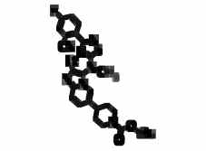 CCc1nc2ccc(C3CCN(C(=O)OC(C)(C)C)CC3)cn2c1N(C)c1nc(-c2ccc(F)cc2C#N)ns1